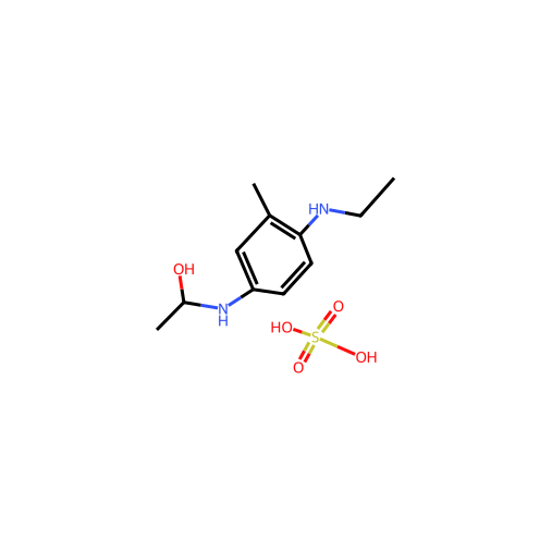 CCNc1ccc(NC(C)O)cc1C.O=S(=O)(O)O